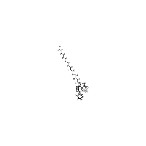 CCCCCCCCCCCCCCCCCCNC(=O)[C@@H](NC(=O)c1cccs1)[C@@H](C)O